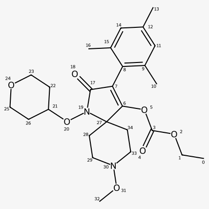 CCOC(=O)OC1=C(c2c(C)cc(C)cc2C)C(=O)N(OC2CCOCC2)C12CCN(OC)CC2